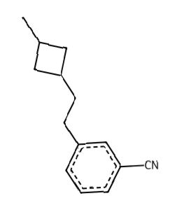 CC1CC(CCc2cccc(C#N)c2)C1